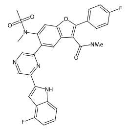 CNC(=O)c1c(-c2ccc(F)cc2)oc2cc(N(C)S(C)(=O)=O)c(-c3cn[c]c(-c4cc5c(F)cccc5[nH]4)n3)cc12